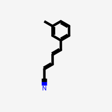 Cc1cccc(C=CC=CC#N)c1